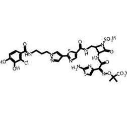 CC(C)(O/N=C(\C(=O)NC1C(=O)N(S(=O)(=O)O)C1CNC(=O)c1cnc(-c2cnn(CCCNC(=O)c3ccc(O)c(O)c3Cl)c2)s1)c1csc(N)n1)C(=O)O